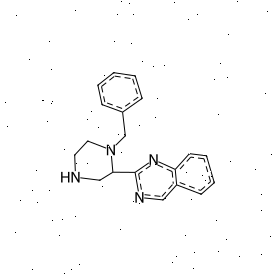 c1ccc(CN2CCNCC2c2ncc3ccccc3n2)cc1